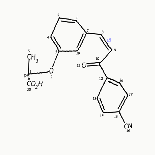 C[C@H](Oc1cccc(/C=C\C(=O)c2ccc(C#N)cc2)c1)C(=O)O